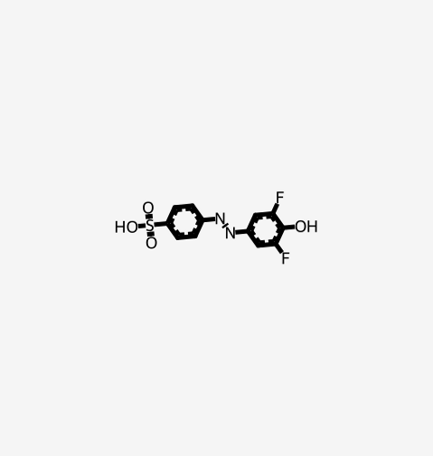 O=S(=O)(O)c1ccc(N=Nc2cc(F)c(O)c(F)c2)cc1